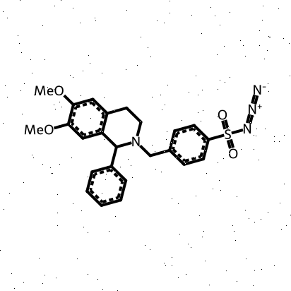 COc1cc2c(cc1OC)C(c1ccccc1)N(Cc1ccc(S(=O)(=O)N=[N+]=[N-])cc1)CC2